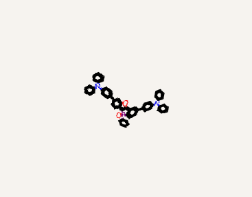 O=P1(c2ccccc2)c2ccc(-c3ccc(N(c4ccccc4)c4ccccc4)cc3)cc2-c2oc3cc(-c4ccc(N(c5ccccc5)c5ccccc5)cc4)ccc3c21